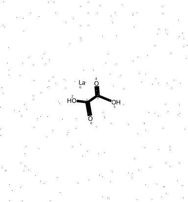 O=C(O)C(=O)O.[La]